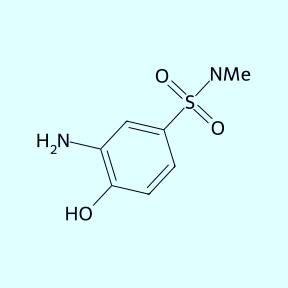 CNS(=O)(=O)c1ccc(O)c(N)c1